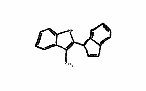 Cc1c(C2C=Cc3ccccc32)[nH]c2ccccc12